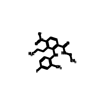 CCCc1c([N+](=O)[O-])ccc(C(=O)NOC)c1Nc1ccc(I)cc1C